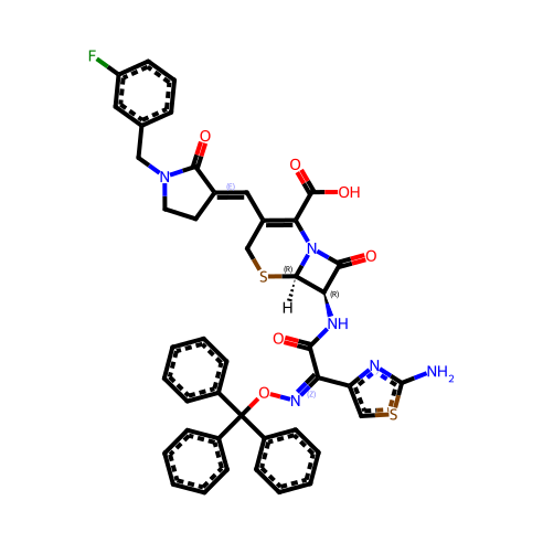 Nc1nc(/C(=N/OC(c2ccccc2)(c2ccccc2)c2ccccc2)C(=O)N[C@@H]2C(=O)N3C(C(=O)O)=C(/C=C4\CCN(Cc5cccc(F)c5)C4=O)CS[C@H]23)cs1